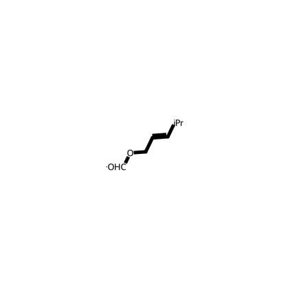 CC(C)/C=C/CO[C]=O